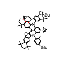 CCCCC(C)(C)c1cc(N2c3cc4c(cc3B3c5oc6cc7c(cc6c5N(c5ccc(C(C)(C)C)cc5C)c5cc([Si](C)(C)C)cc2c53)C(C)(C)CCC7(C)C)C(C)(C)CCC4(C)C)c(-c2ccccc2)cc1CC